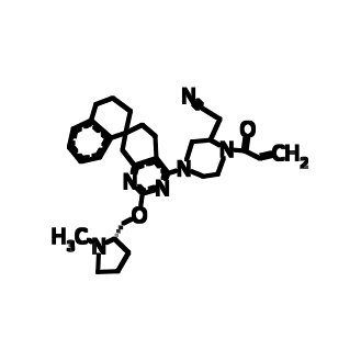 C=CC(=O)N1CCN(c2nc(OC[C@@H]3CCCN3C)nc3c2CCC2(CCCc4ccccc42)C3)CC1CC#N